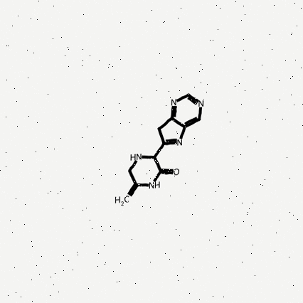 C=C1CNC(C2=Nc3cncnc3C2)C(=O)N1